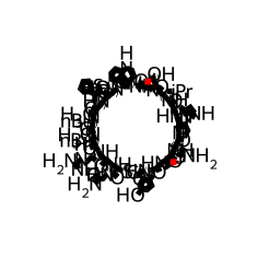 CCCC[C@H]1C(=O)N(C)[C@@H](CCCC)C(=O)N[C@@H](CCCNC(=N)N)C(=O)N[C@H](C(=O)NCC(N)=O)CSCC(=O)N[C@@H](Cc2ccc(O)cc2)C(=O)NC2(CC2)C(=O)N[C@@H](CC(N)=O)C(=O)N2CCC[C@H]2C(=O)N[C@@H](Cc2c[nH]cn2)C(=O)N[C@@H](CC(C)C)C(=O)N2C[C@H](O)C[C@H]2C(=O)NC([C@H]2C=CNc3ccccc32)C(=O)N[C@@H](CO)C(=O)N[C@@H](Cc2csc3ccccc23)C(=O)N1C